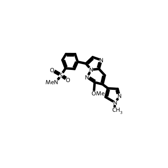 CNS(=O)(=O)c1cccc(-c2cnc3cc(-c4cnn(C)c4)c(OC)nn23)c1